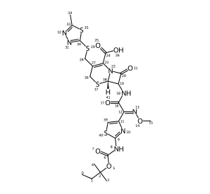 CCC(C)(C)OC(=O)Nc1nc(C(=NOC)C(=O)NC2C(=O)N3C(C(=O)O)=C(CSc4nnc(C)s4)CS[C@@H]23)cs1